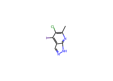 Cc1nc2[nH]ncc2c(I)c1Cl